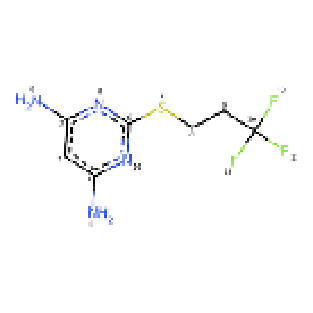 Nc1cc(N)nc(SCCC(F)(F)F)n1